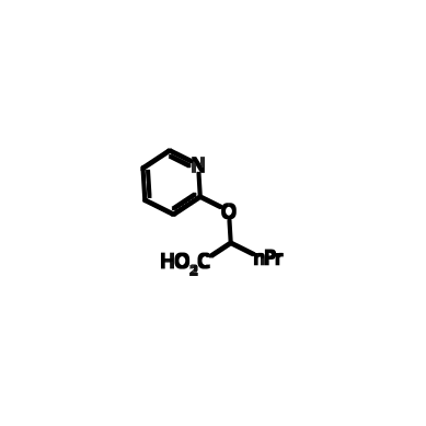 CCCC(Oc1ccccn1)C(=O)O